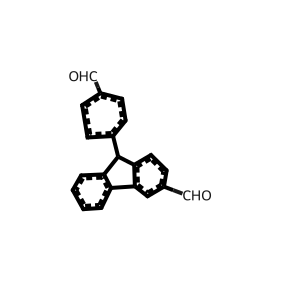 O=Cc1ccc(C2c3ccccc3-c3cc(C=O)ccc32)cc1